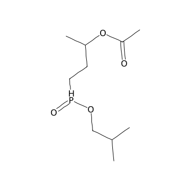 CC(=O)OC(C)CC[PH](=O)OCC(C)C